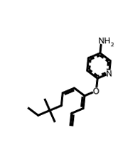 C=C/C=C(\C=C/CC(C)(C)CC)Oc1ccc(N)cn1